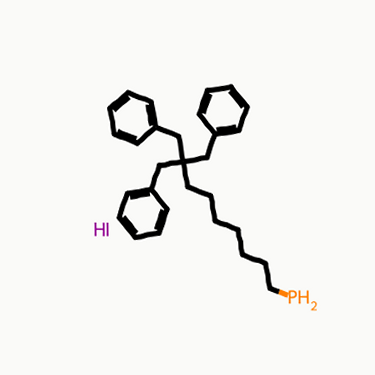 I.PCCCCCCCC(Cc1ccccc1)(Cc1ccccc1)Cc1ccccc1